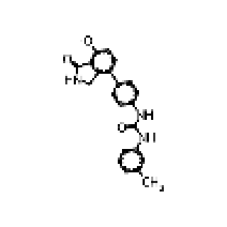 Cc1cccc(NC(=O)Nc2ccc(-c3ccc([O])c4c3CNC4=O)cc2)c1